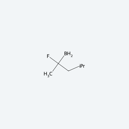 BC(C)(F)CC(C)C